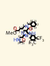 COC(=O)C/C=C/CN(Cc1ccccc1)C(=O)c1cnc(C2CNCCO2)nc1Nc1cc(C(F)(F)F)cc(C(F)(F)F)c1